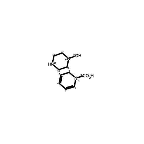 O=C(O)N1C=CC=CC1.ON1CCNCC1